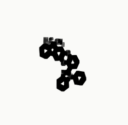 CC1(C)c2ccccc2-c2cc3c(cc21)Oc1cccc(-c2nc4ccccc4n2-c2ccccc2)c1O3